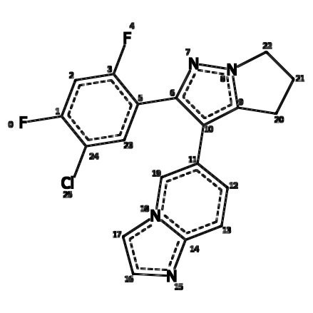 Fc1cc(F)c(-c2nn3c(c2-c2ccc4nccn4c2)CCC3)cc1Cl